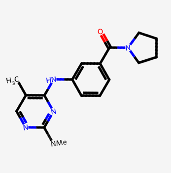 CNc1ncc(C)c(Nc2cccc(C(=O)N3CCCC3)c2)n1